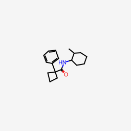 CC1CCCCC1NC(=O)C1(c2ccccc2)CCC1